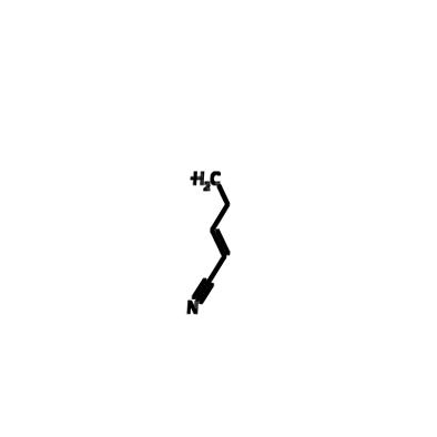 [CH2]CC=CC#N